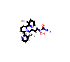 Cc1cccnc1C1CCCC(c2ncccc2C)N1CCCCN(O)C(N)=O